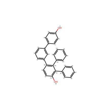 Oc1ccc(-c2cccc(-c3ccc(O)c(-c4ccccc4)c3-c3ccccc3)c2)cc1